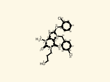 Cn1c(=O)n(CCCO)c(=O)c2c1nc(Oc1ccccc1Cl)n2Cc1ccc(Cl)cc1